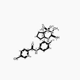 CN1C(=N)N[C@@]2(c3cc(NC(=O)c4ccc(Cl)cn4)ccc3F)CCC[C@H]2S1(=O)=O